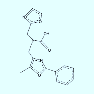 Cc1oc(-c2ccccc2)nc1CN(Cc1ncco1)C(=O)O